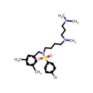 Cc1cc(C)cc(CN(CCCCN(C)CCCN(C)C)S(=O)(=O)c2ccc(Br)cc2)c1